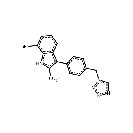 CC(C)c1cccc2c(-c3ccc(Cn4cnnn4)cc3)c(C(=O)O)[nH]c12